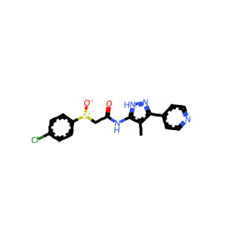 Cc1c(-c2ccncc2)n[nH]c1NC(=O)C[S+]([O-])c1ccc(Cl)cc1